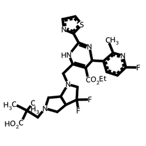 CCOC(=O)C1=C(CN2CC(F)(F)C3CN(CC(C)(C)C(=O)O)CC32)NC(c2nccs2)=NC1c1ccc(F)nc1C